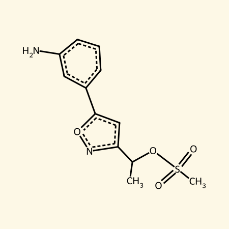 CC(OS(C)(=O)=O)c1cc(-c2cccc(N)c2)on1